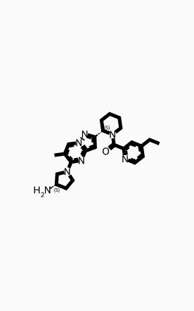 CCc1ccnc(C(=O)N2CCCC[C@H]2c2cc3nc(N4CC[C@H](N)C4)c(C)cn3n2)c1